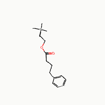 C[Si](C)(C)CCOC(=O)CCCc1cc[c]cc1